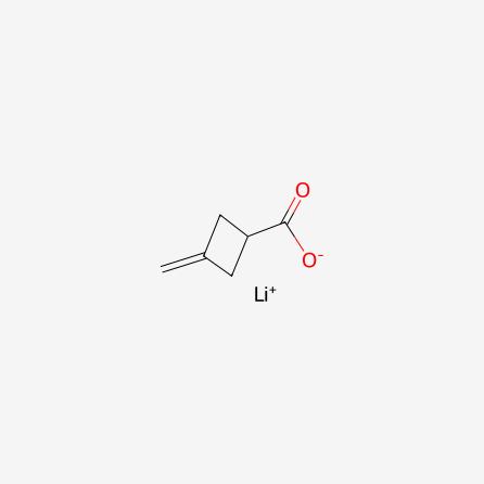 C=C1CC(C(=O)[O-])C1.[Li+]